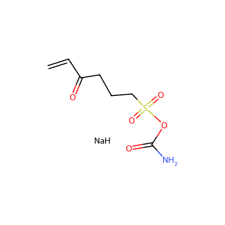 C=CC(=O)CCCS(=O)(=O)OC(N)=O.[NaH]